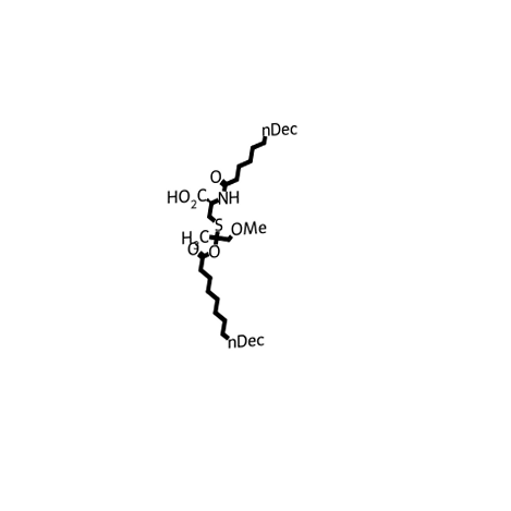 CCCCCCCCCCCCCCCCCC(=O)OC(C)(COC)SC[C@H](NC(=O)CCCCCCCCCCCCCCC)C(=O)O